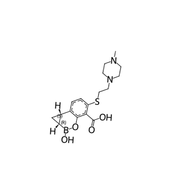 CN1CCN(CCSc2ccc3c(c2C(=O)O)OB(O)[C@@H]2C[C@H]32)CC1